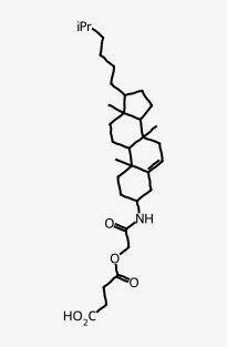 CC(C)CCCCC1CCC2C1(C)CCC1C3(C)CCC(NC(=O)COC(=O)CCC(=O)O)CC3=CCC12C